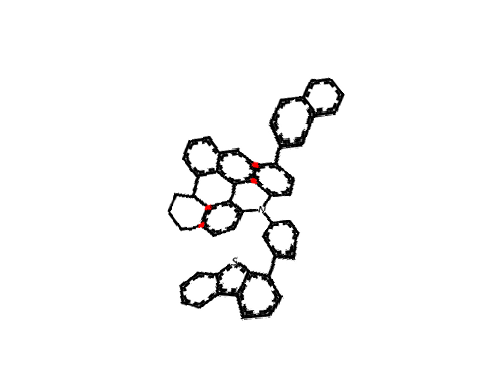 c1cc(-c2cccc3c2sc2ccccc23)cc(N(c2ccc(-c3ccc4ccccc4c3)cc2)c2ccccc2-c2cccc3cccc(C4CCCCC4)c23)c1